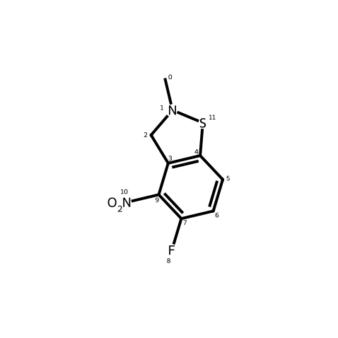 CN1Cc2c(ccc(F)c2[N+](=O)[O-])S1